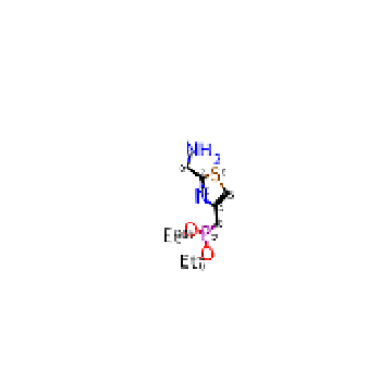 CCOP(Cc1csc(CN)n1)OCC